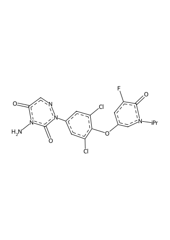 CC(C)n1cc(Oc2c(Cl)cc(-n3ncc(=O)n(N)c3=O)cc2Cl)cc(F)c1=O